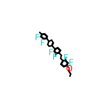 CCCOc1ccc(CCc2ccc(C3=CCC(c4ccc(C)c(F)c4F)CC3)c(F)c2F)c(F)c1F